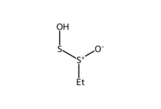 CC[S+]([O-])SO